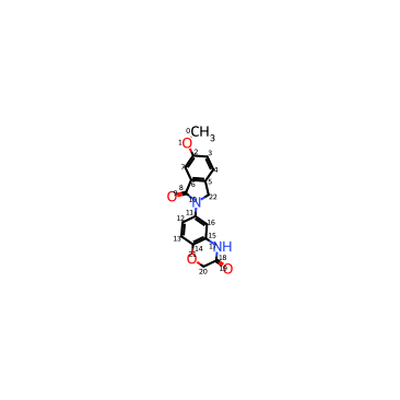 COc1ccc2c(c1)C(=O)N(c1ccc3c(c1)NC(=O)CO3)C2